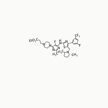 CCOC(=O)CCN1CCN(c2nc(C)nc(Nc3nc(-c4cc(F)cc(C(F)(F)F)c4)c(CN4[C@H](C)CC[C@H]4C)s3)c2F)CC1